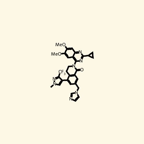 COc1cc2nc(C3CC3)nc(N3CCc4c(cc(Cn5ccnc5)cc4-c4cn(C)nc4C(F)(F)F)C3=O)c2cc1OC